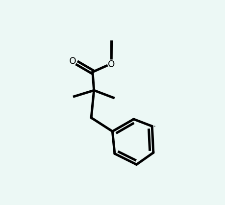 COC(=O)C(C)(C)Cc1c[c]ccc1